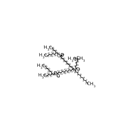 CCCCCCCCCCN(C(=O)CCCCN(C)C)C(CCCCCCCCC(=O)OCC(CCCC)CCCCCC)CCCCCCCCC(=O)OCC(CCCC)CCCCCC